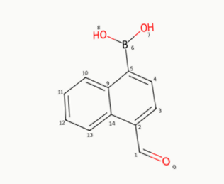 O=Cc1ccc(B(O)O)c2ccccc12